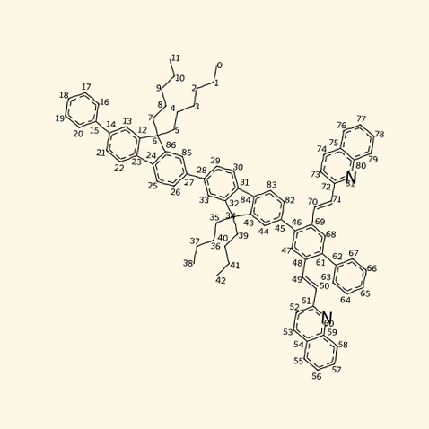 CCCCCCC1(CCCCC)c2cc(-c3ccccc3)ccc2-c2ccc(-c3ccc4c(c3)C(CCCC)(CCCC)c3cc(-c5cc(/C=C/c6ccc7ccccc7n6)c(-c6ccccc6)cc5/C=C/c5ccc6ccccc6n5)ccc3-4)cc21